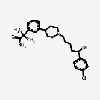 CC(C)(C(N)=O)c1cccc(C2CCN(CCCCC(O)c3ccc(Cl)cc3)CC2)c1